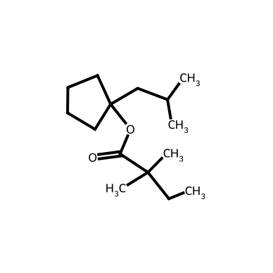 CCC(C)(C)C(=O)OC1(CC(C)C)CCCC1